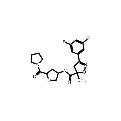 CC1(C(=O)NC2COC(C(=O)N3CCCC3)C2)CC(c2cc(F)cc(F)c2)=NO1